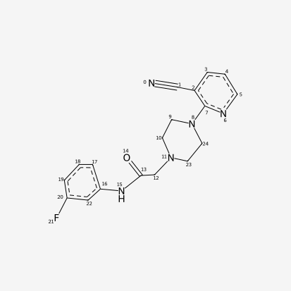 N#Cc1cccnc1N1CCN(CC(=O)Nc2cccc(F)c2)CC1